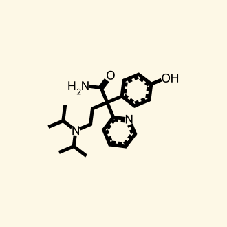 CC(C)N(CCC(C(N)=O)(c1ccc(O)cc1)c1ccccn1)C(C)C